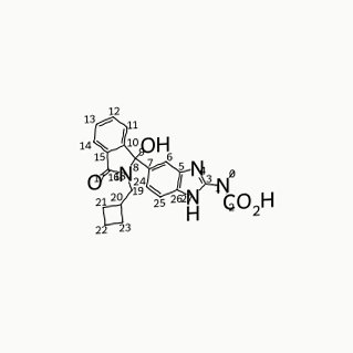 CN(C(=O)O)c1nc2cc(C3(O)c4ccccc4C(=O)N3CC3CCC3)ccc2[nH]1